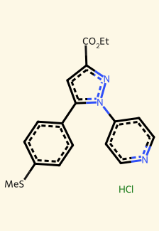 CCOC(=O)c1cc(-c2ccc(SC)cc2)n(-c2ccncc2)n1.Cl